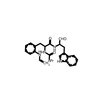 C=CNc1ccccc1CC(NC(=O)CCC)C(=O)NC(C=O)Cc1c[nH]c2ccccc12